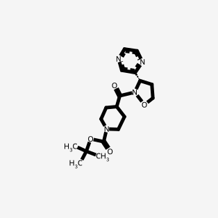 CC(C)(C)OC(=O)N1CCC(C(=O)N2OCC[C@H]2c2cnccn2)CC1